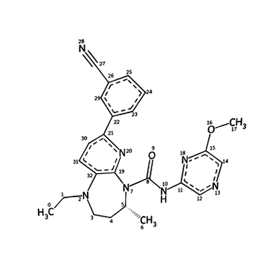 CCN1CC[C@@H](C)N(C(=O)Nc2cncc(OC)n2)c2nc(-c3cccc(C#N)c3)ccc21